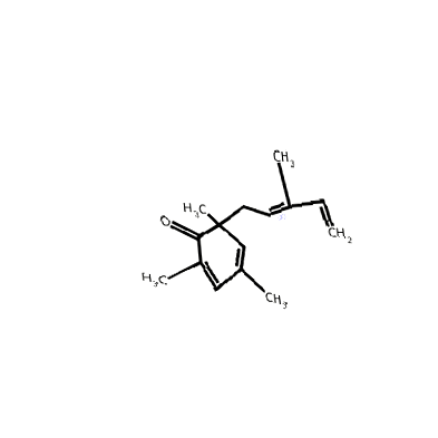 C=C/C(C)=C/CC1(C)C=C(C)C=C(C)C1=O